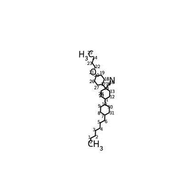 CCCCCCCC1CCC(C2CCC(C#N)(C3CCC(OCCCC)CC3)CC2)CC1